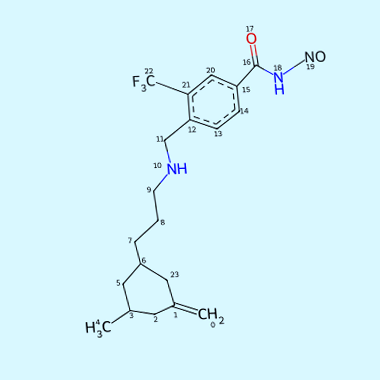 C=C1CC(C)CC(CCCNCc2ccc(C(=O)NN=O)cc2C(F)(F)F)C1